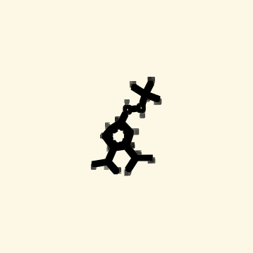 CC(C)c1ccc(OOC(C)(C)C)cc1C(C)C